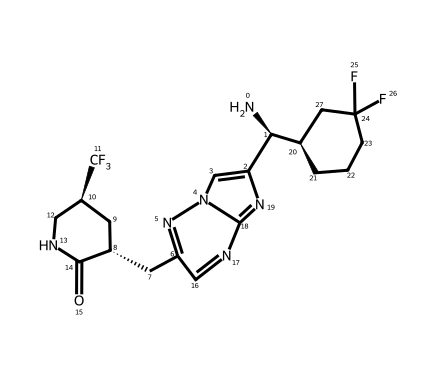 N[C@H](c1cn2nc(C[C@H]3C[C@H](C(F)(F)F)CNC3=O)cnc2n1)[C@@H]1CCCC(F)(F)C1